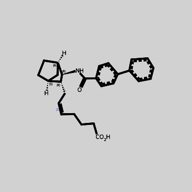 O=C(O)CCC/C=C\C[C@@H]1[C@H]2CC[C@H](C2)[C@H]1NC(=O)c1ccc(-c2ccccc2)cc1